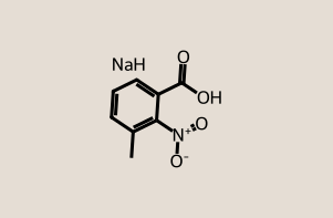 Cc1cccc(C(=O)O)c1[N+](=O)[O-].[NaH]